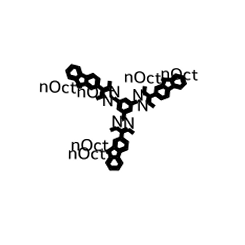 CCCCCCCCC1(CCCCCCCC)c2ccccc2-c2ccc(-c3c(C)nc(-c4cc(-c5nc(C)c(-c6ccc7c(c6)C(CCCCCCCC)(CCCCCCCC)c6ccccc6-7)c(C)n5)cc(-c5nc(C)c(-c6ccc7c(c6)C(CCCCCCCC)(CCCCCCCC)c6ccccc6-7)c(C)n5)c4)nc3C)cc21